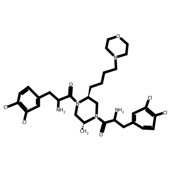 C[C@@H]1CN(C(=O)C(N)Cc2ccc(Cl)c(Cl)c2)[C@@H](CCCCN2CCOCC2)CN1C(=O)C(N)Cc1ccc(Cl)c(Cl)c1